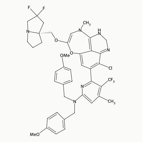 COc1ccc(CN(Cc2ccc(OC)cc2)c2cc(C)c(C(F)(F)F)c(-c3cc4c5c(c3Cl)=NCNC=5N(C)C=C(OC[C@]35CCCN3CC(F)(F)C5)O4)n2)cc1